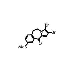 CSc1ccc2c(c1)C(=O)c1cc(Br)c(Br)n1CC2